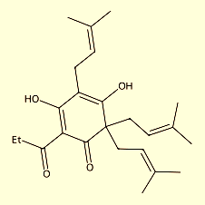 CCC(=O)C1=C(O)C(CC=C(C)C)=C(O)C(CC=C(C)C)(CC=C(C)C)C1=O